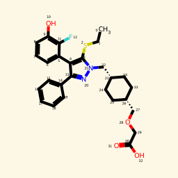 CCSc1c(-c2cccc(O)c2F)c(-c2ccccc2)nn1C[C@H]1CC[C@@H](COCC(=O)O)CC1